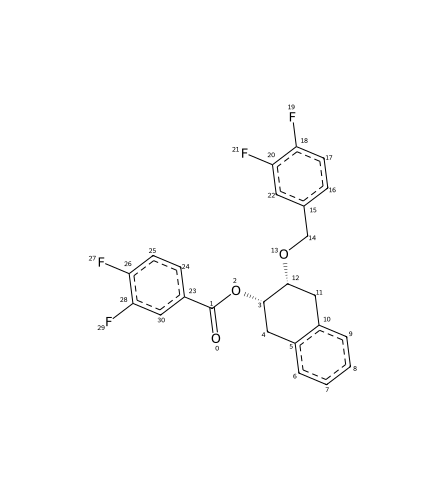 O=C(O[C@H]1Cc2ccccc2C[C@H]1OCc1ccc(F)c(F)c1)c1ccc(F)c(F)c1